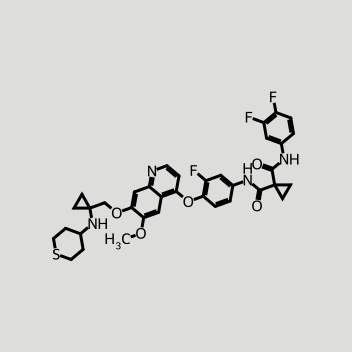 COc1cc2c(Oc3ccc(NC(=O)C4(C(=O)Nc5ccc(F)c(F)c5)CC4)cc3F)ccnc2cc1OCC1(NC2CCSCC2)CC1